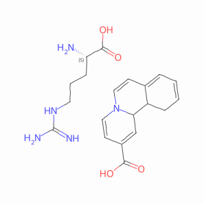 N=C(N)NCCC[C@H](N)C(=O)O.O=C(O)C1=CC2C3CC=CC=C3C=CN2C=C1